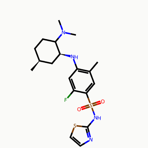 Cc1cc(S(=O)(=O)Nc2nccs2)c(F)cc1N[C@H]1C[C@@H](C)CCC1N(C)C